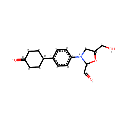 O=CC1OC(CO)CN1c1ccc(C2CCC(=O)CC2)cc1